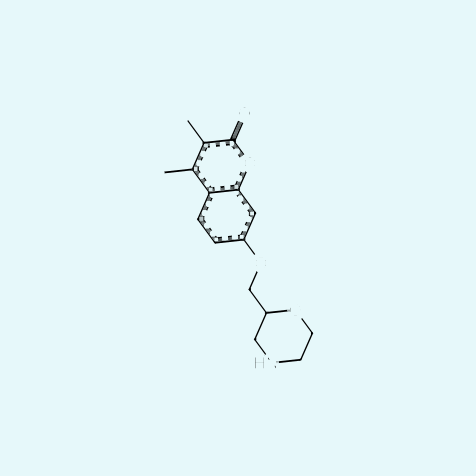 Cc1c(C)c2ccc(OCC3CNCCO3)cc2oc1=O